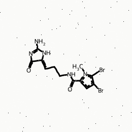 Cn1c(C(=O)NCC/C=C2\NC(N)=NC2=O)cc(Br)c1Br